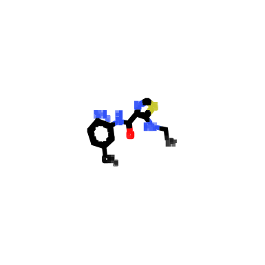 Cc1ccc(N)c(NC(=O)c2ncsc2NCC(C)C)c1